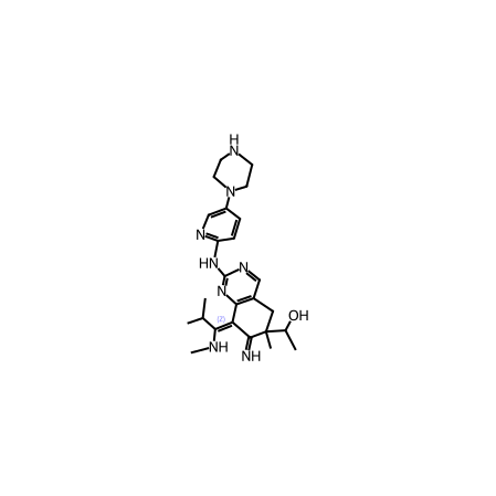 CN/C(=C1\C(=N)C(C)(C(C)O)Cc2cnc(Nc3ccc(N4CCNCC4)cn3)nc21)C(C)C